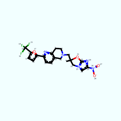 CC1(CN2CCc3nc(-c4ccc(C(F)(F)F)o4)ccc3C2)Cn2cc([N+](=O)[O-])nc2O1